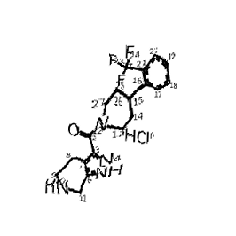 Cl.O=C(c1n[nH]c2c1CCNC2)N1CCC(c2ccccc2C(F)(F)F)CC1